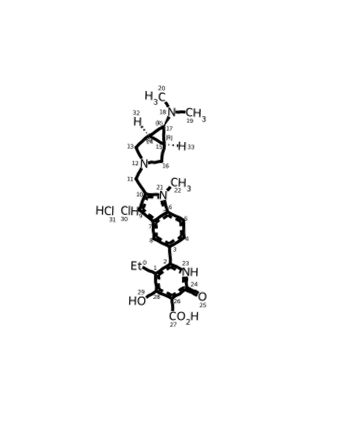 CCc1c(-c2ccc3c(c2)cc(CN2C[C@@H]4[C@H](C2)[C@@H]4N(C)C)n3C)[nH]c(=O)c(C(=O)O)c1O.Cl.Cl